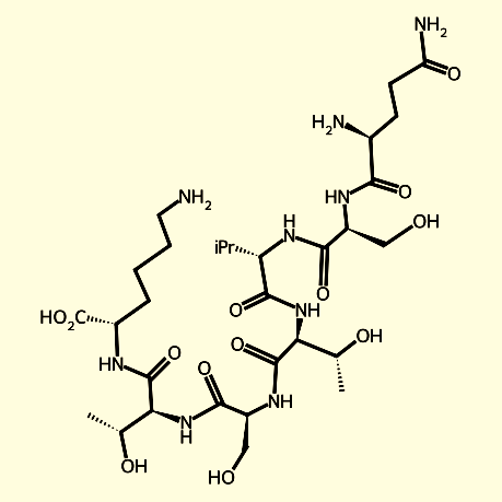 CC(C)[C@H](NC(=O)[C@H](CO)NC(=O)[C@@H](N)CCC(N)=O)C(=O)N[C@H](C(=O)N[C@@H](CO)C(=O)N[C@H](C(=O)N[C@@H](CCCCN)C(=O)O)[C@@H](C)O)[C@@H](C)O